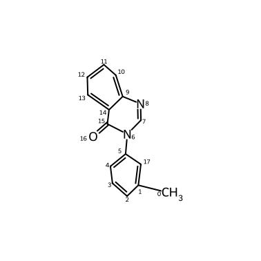 Cc1cccc(-n2cnc3ccccc3c2=O)c1